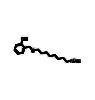 CCCCCCCCCCCCCCCCCCOCc1ccccc1O